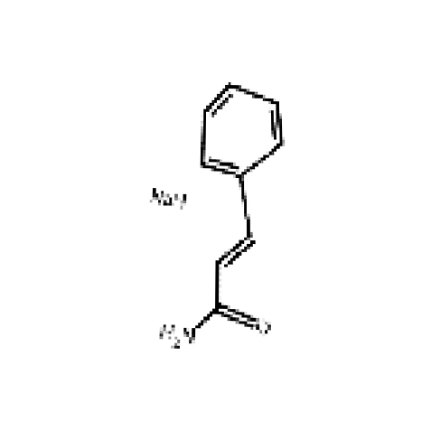 NC(=O)C=Cc1ccccc1.[NaH]